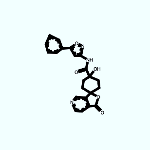 O=C1OC2(CCC(O)(C(=O)Nc3cc(-c4ccccc4)on3)CC2)c2cnccc21